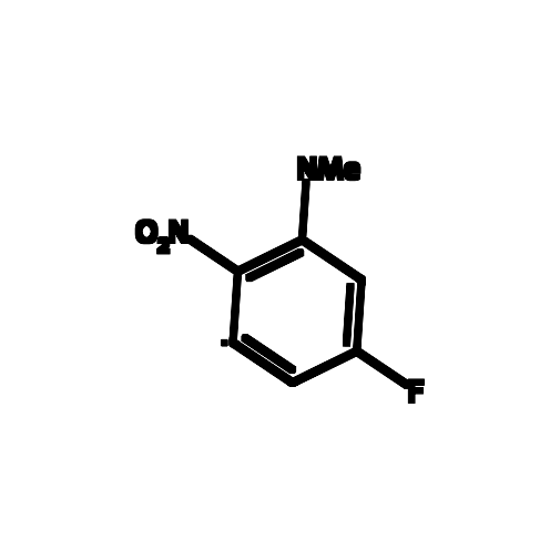 CNc1cc(F)c[c]c1[N+](=O)[O-]